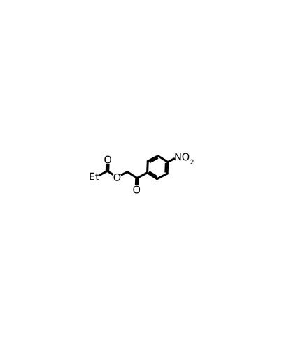 CCC(=O)OCC(=O)c1ccc([N+](=O)[O-])cc1